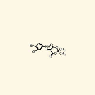 CC1(C)OC(=O)C(=CNc2ccc(Br)c(Cl)c2)C(=O)O1